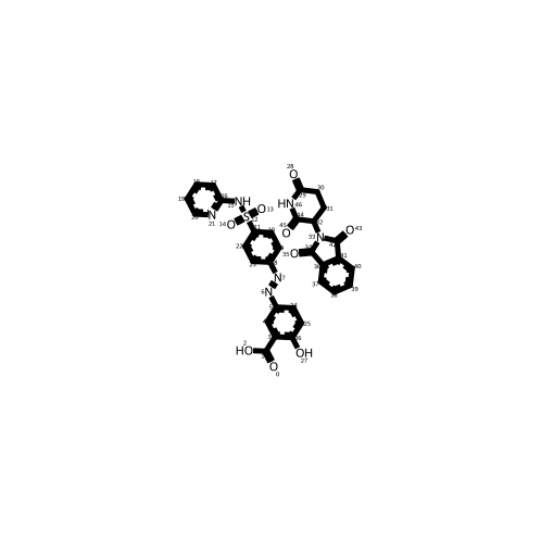 O=C(O)c1cc(N=Nc2ccc(S(=O)(=O)Nc3ccccn3)cc2)ccc1O.O=C1CCC(N2C(=O)c3ccccc3C2=O)C(=O)N1